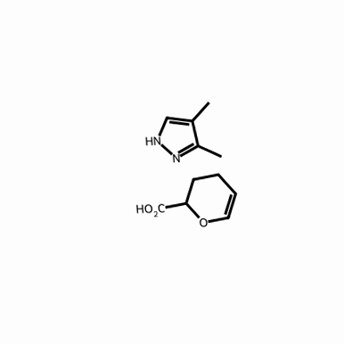 Cc1c[nH]nc1C.O=C(O)C1CCC=CO1